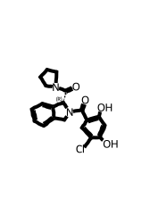 O=C([C@H]1c2ccccc2CN1C(=O)c1cc(Cl)c(O)cc1O)N1CCCC1